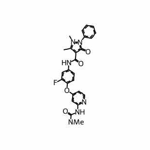 CNC(=O)Nc1cc(Oc2ccc(NC(=O)c3c(C)n(C)n(-c4ccccc4)c3=O)cc2F)ccn1